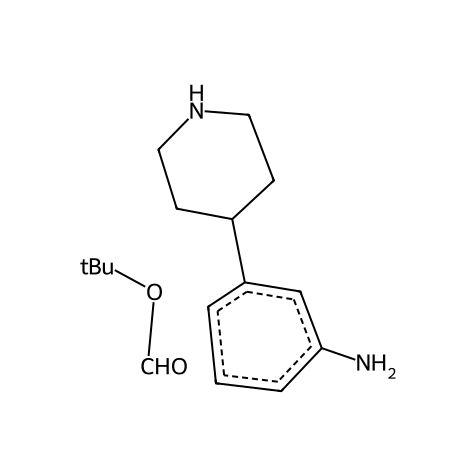 CC(C)(C)OC=O.Nc1cccc(C2CCNCC2)c1